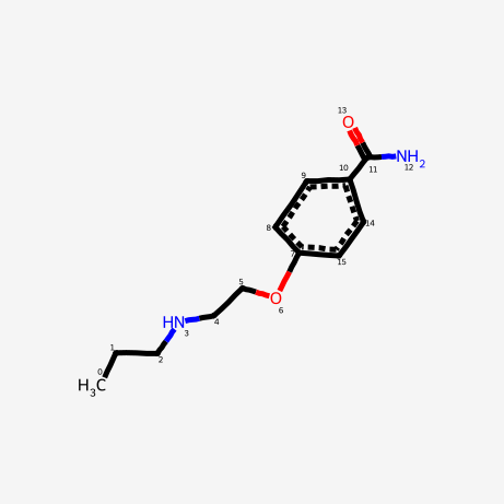 CCCNCCOc1ccc(C(N)=O)cc1